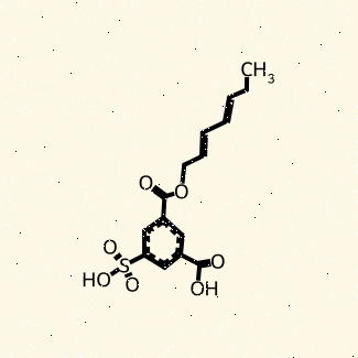 CCC=CC=CCOC(=O)c1cc(C(=O)O)cc(S(=O)(=O)O)c1